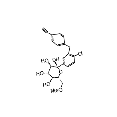 C#Cc1ccc(Cc2cc([C@]3(O)O[C@H](COC)[C@@H](O)[C@H](O)[C@H]3O)ccc2Cl)cc1